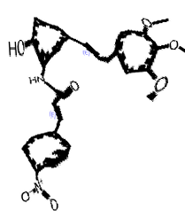 COc1cc(/C=C/c2ccc(O)c(NC(=O)/C=C/c3ccc([N+](=O)[O-])cc3)c2)cc(OC)c1OC